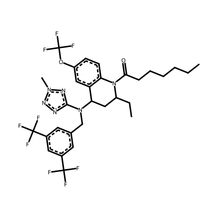 CCCCCCC(=O)N1c2ccc(OC(F)(F)F)cc2C(N(Cc2cc(C(F)(F)F)cc(C(F)(F)F)c2)c2nnn(C)n2)CC1CC